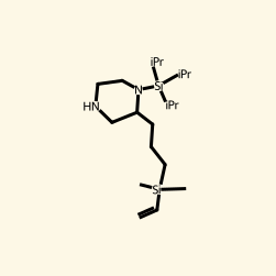 C=C[Si](C)(C)CCCC1CNCCN1[Si](C(C)C)(C(C)C)C(C)C